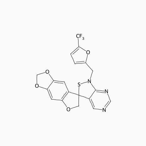 FC(F)(F)c1ccc(CN2SC3(COc4cc5c(cc43)OCO5)c3cncnc32)o1